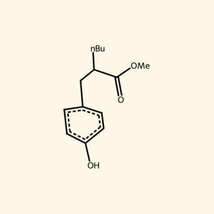 CCCCC(Cc1ccc(O)cc1)C(=O)OC